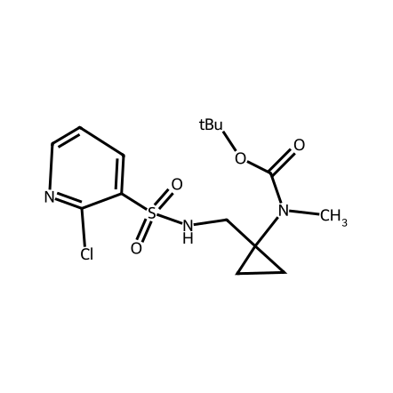 CN(C(=O)OC(C)(C)C)C1(CNS(=O)(=O)c2cccnc2Cl)CC1